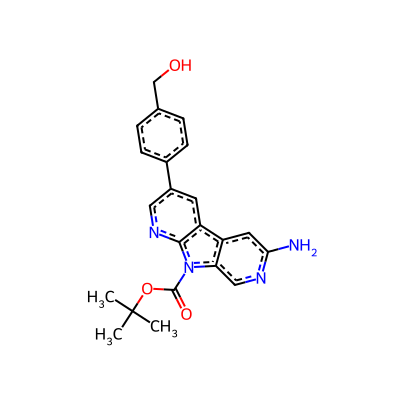 CC(C)(C)OC(=O)n1c2cnc(N)cc2c2cc(-c3ccc(CO)cc3)cnc21